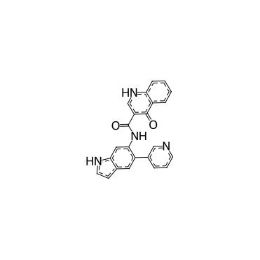 O=C(Nc1cc2[nH]ccc2cc1-c1cccnc1)c1c[nH]c2ccccc2c1=O